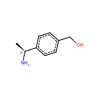 C[C@H](N)c1ccc(CO)cc1